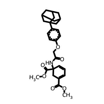 COC(=O)C1=CC=CC(NC(=O)COc2ccc(C34CC5CC(CC(C5)C3)C4)cc2)(C(=O)OC)C1